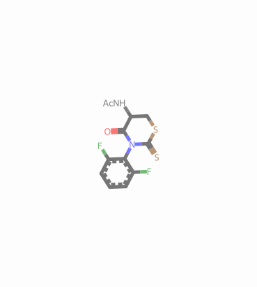 CC(=O)NC1CSC(=S)N(c2c(F)cccc2F)C1=O